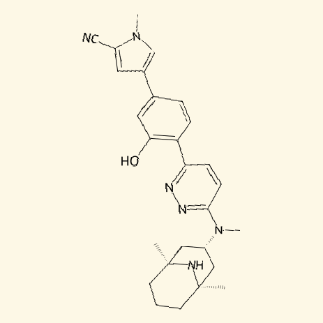 CN(c1ccc(-c2ccc(-c3cc(C#N)n(C)c3)cc2O)nn1)[C@H]1C[C@]2(C)CCC[C@](C)(C1)N2